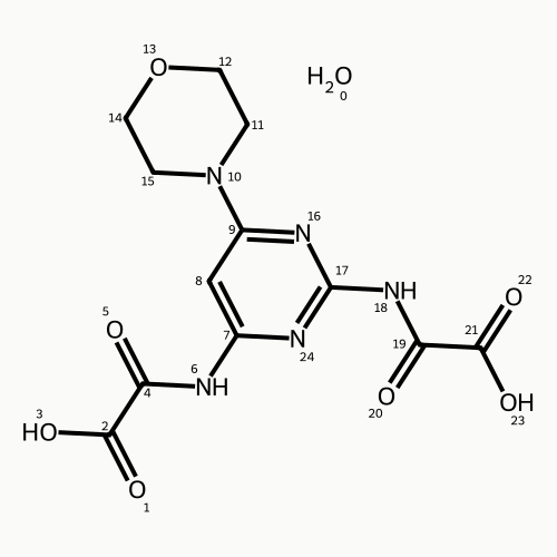 O.O=C(O)C(=O)Nc1cc(N2CCOCC2)nc(NC(=O)C(=O)O)n1